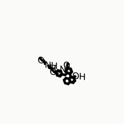 COCCNCCOc1ccc(Cc2c(-c3c(O)ccc4c3CCCC4)ccc(OC)c2N)cc1